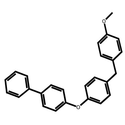 COc1ccc(Cc2ccc(Oc3ccc(-c4ccccc4)cc3)cc2)cc1